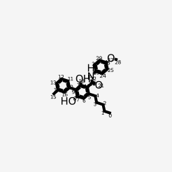 CCCCCc1cc(O)c(-c2cccc(C)c2)c(O)c1C(=O)Nc1ccc(OC)cc1